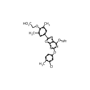 CCCOc1nc(Oc2ccc(C)c(Cl)c2)nc2oc(-c3cc(C)c(OCC(=O)O)c(C)c3)nc12